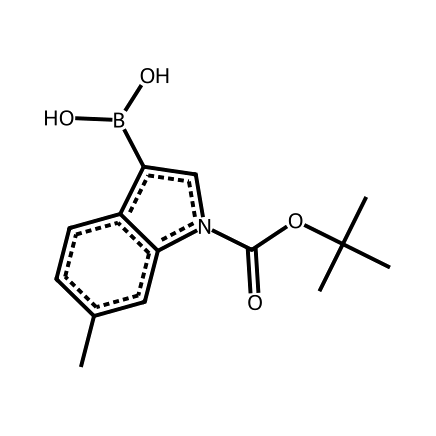 Cc1ccc2c(B(O)O)cn(C(=O)OC(C)(C)C)c2c1